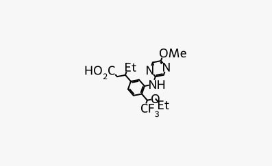 CCOC(c1ccc(C(CC)CC(=O)O)cc1Nc1cnc(OC)cn1)C(F)(F)F